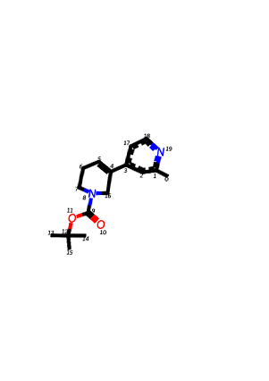 Cc1cc(C2=CCCN(C(=O)OC(C)(C)C)C2)ccn1